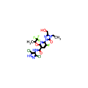 CCn1c(CO)nn(-c2nc(OC(C)C(F)(F)F)c(C(=O)Nc3c(Cl)n[nH]c3Cl)cc2F)c1=O